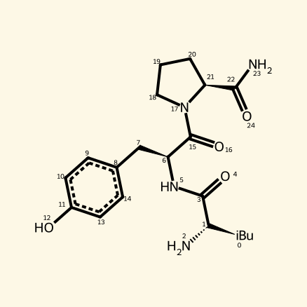 CC[C@H](C)[C@H](N)C(=O)N[C@@H](Cc1ccc(O)cc1)C(=O)N1CCC[C@H]1C(N)=O